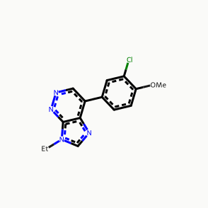 CCn1cnc2c(-c3ccc(OC)c(Cl)c3)cnnc21